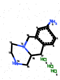 Cl.Cl.Cl.Nc1ccc2c(c1)CN1CCNCC1C2